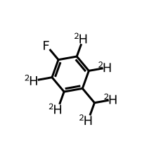 [2H]c1c([2H])c(C([2H])[2H])c([2H])c([2H])c1F